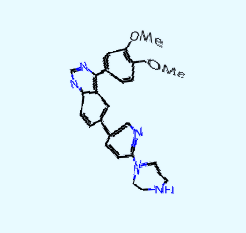 COc1ccc(-c2ncnc3ccc(-c4ccc(N5CCNCC5)nc4)cc23)cc1OC